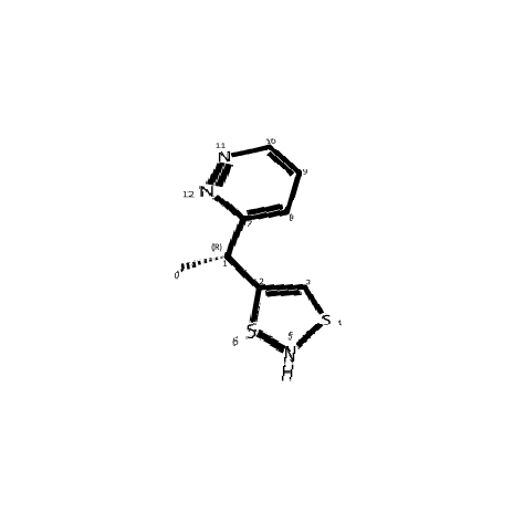 C[C@@H](C1=CSNS1)c1cccnn1